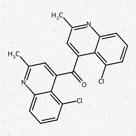 Cc1cc(C(=O)c2cc(C)nc3cccc(Cl)c23)c2c(Cl)cccc2n1